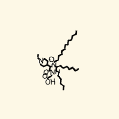 CCCCCCCCCCCCC(=O)N(C(CCCCCCC)CCCCCCC)C(C(=O)NCC(=O)O)C1CCN(CC)CC1